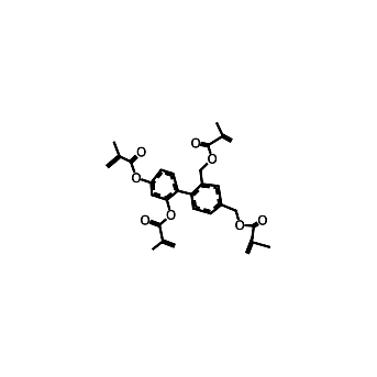 C=C(C)C(=O)OCc1ccc(-c2ccc(OC(=O)C(=C)C)cc2OC(=O)C(=C)C)c(COC(=O)C(=C)C)c1